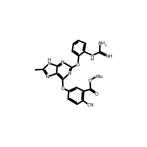 Cc1nc2c(Oc3ccc(C#N)c(C(=O)OC(C)(C)C)c3)nc(Oc3ccccc3NC(=N)N)nc2[nH]1